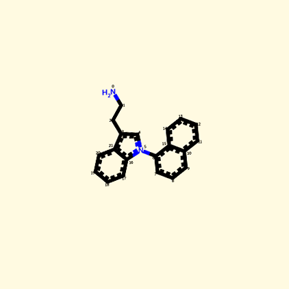 NCCc1cn(-c2cccc3ccccc23)c2ccccc12